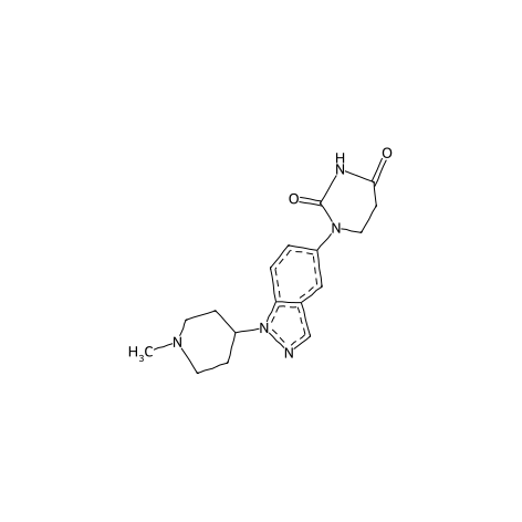 CN1CCC(n2ncc3cc(N4CCC(=O)NC4=O)ccc32)CC1